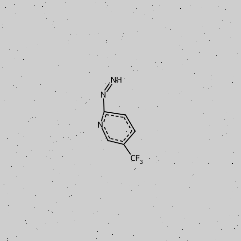 N=Nc1ccc(C(F)(F)F)cn1